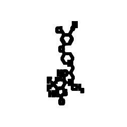 CN(C[C@@H](O)CN1CCC(Oc2ccc(C#N)c(Cl)c2)CC1)C(=O)c1sc(=O)[nH]c1C(F)(F)F